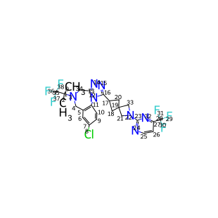 CC(C)(N1Cc2cc(Cl)ccc2-n2c(nnc2C2CC3(C2)CN(c2nccc(C(F)(F)F)n2)C3)C1)C(F)(F)F